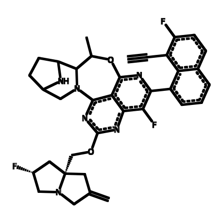 C#Cc1c(F)ccc2cccc(-c3nc4c5c(nc(OC[C@]67CC(=C)CN6C[C@H](F)C7)nc5c3F)N3CC5CCC(N5)C3C(C)O4)c12